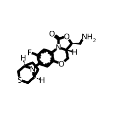 NC[C@@H]1OC(=O)N2c3cc(F)c(N4[C@@H]5CC[C@H]4CSC5)cc3OC[C@@H]12